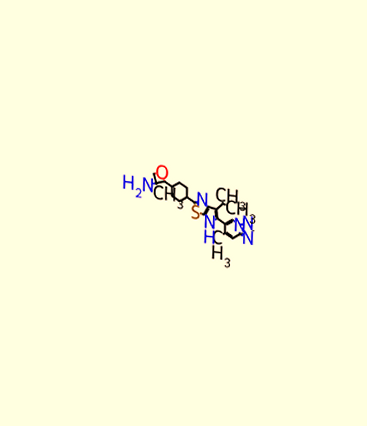 Cc1cc2ncnn2cc1-c1[nH]c2sc(C3CCC(C4OCC4(C)N)CC3)nc2c1C(C)C